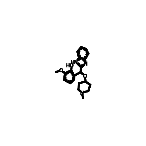 COc1cccc(C(OC2CCN(C)CC2)c2nc3ccccc3[nH]2)c1O